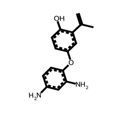 C=C(C)c1cc(Oc2ccc(N)cc2N)ccc1O